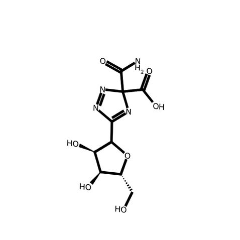 NC(=O)C1(C(=O)O)N=NC(C2O[C@H](CO)[C@@H](O)[C@H]2O)=N1